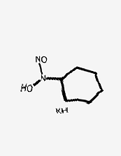 O=NN(O)C1CCCCC1.[KH]